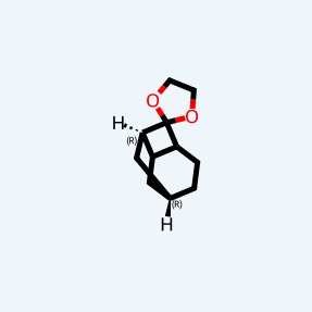 C1COC2(O1)C1CC[C@@H]3CC1[C@H]2C3